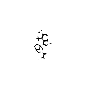 CC(C)C(=O)N1C[C@@H]2CC[C@@](c3cn(C)c4ncc([N+](=O)[O-])c(C(F)(F)F)c34)(C2)C1